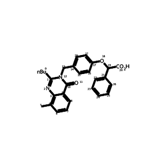 CCCCc1nc2c(C)cccc2c(=O)n1Cc1ccc(OC(C(=O)O)c2ccccc2)cc1